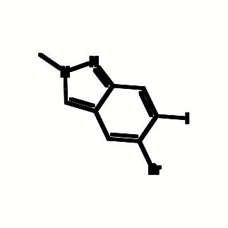 Cn1cc2cc(Br)c(I)cc2n1